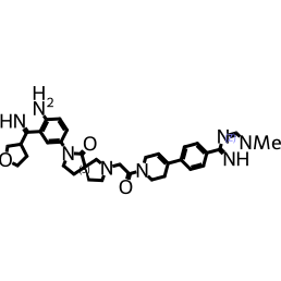 CN/C=N\C(=N)c1ccc(C2=CCN(C(=O)CN3CC[C@]4(CCN(c5ccc(N)c(C(=N)C6CCOC6)c5)C4=O)C3)CC2)cc1